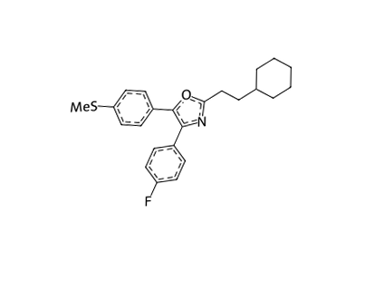 CSc1ccc(-c2oc(CCC3CCCCC3)nc2-c2ccc(F)cc2)cc1